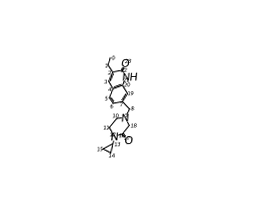 CCc1cc2ccc(CN3CCN(C4CC4)C(=O)C3)cc2[nH]c1=O